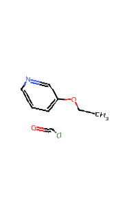 CCOc1cccnc1.O=CCl